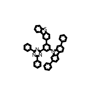 c1ccc(-c2ccc3c4ccc(-c5ccccc5)cc4n(-c4cc(-c5ccc6sc7ccccc7c6c5)cc(-c5nc(-c6ccccc6)nc(-c6ccccc6)n5)c4)c3c2)cc1